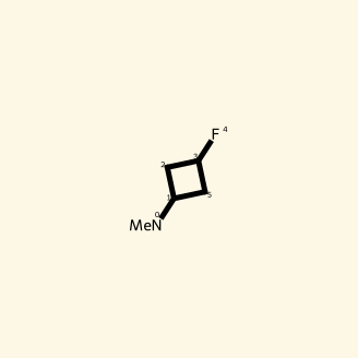 CNC1CC(F)C1